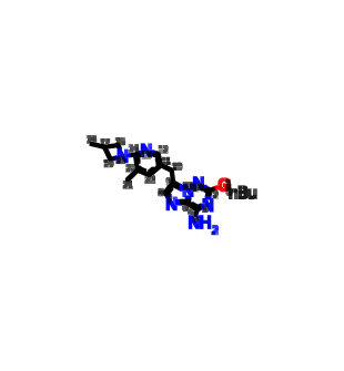 CCCCOc1nc(N)c2ncc(Cc3cnc(N4CC(C)C4)c(C)c3)n2n1